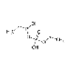 CCP(O)OP(=O)(O)OSC